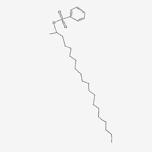 CCCCCCCCCCCCCCCCCCC(C)OS(=O)(=O)c1ccccc1